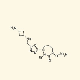 CCN1C(=O)N(OS(=O)(=O)O)CCC[C@H]1c1nnc(CN[C@H]2C[C@@H](N)C2)o1